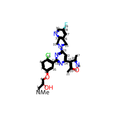 CNC[C@@H](O)COc1ccc(Cl)c(-c2nc(-c3c(C)noc3C)cc(N3Cc4cc(F)cnc4C3)n2)c1